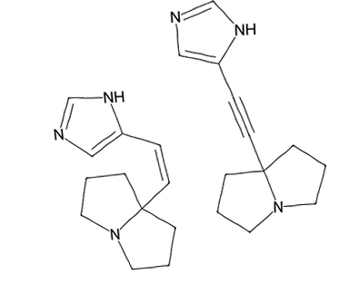 C(#CC12CCCN1CCC2)c1cnc[nH]1.C(=C/C12CCCN1CCC2)/c1cnc[nH]1